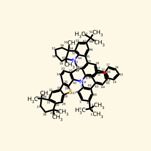 CC(C)(C)c1ccc(N2c3cc(-c4ccccc4)cc4c3B(c3ccc5c(sc6cc7c(cc65)C(C)(C)CCC7(C)C)c32)N2c3c-4cc(C(C)(C)C)cc3C3(C)CCCCC23C)c(-c2ccccc2)c1